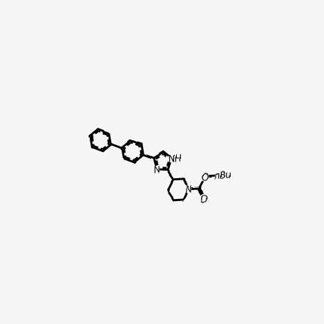 CCCCOC(=O)N1CCCC(c2nc(-c3ccc(-c4ccccc4)cc3)c[nH]2)C1